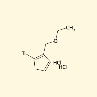 CCOCC1=[C]([Ti])CC=C1.Cl.Cl